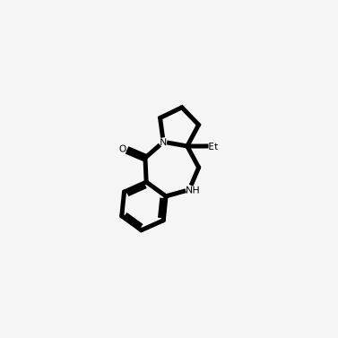 CCC12CCCN1C(=O)c1ccccc1NC2